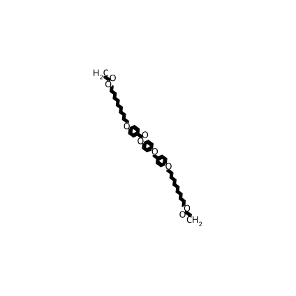 C=CC(=O)OCCCCCCCCCCCOc1ccc(COc2ccc(OC(=O)c3ccc(OCCCCCCCCCCCOC(=O)C=C)cc3)cc2)cc1